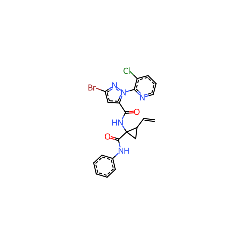 C=CC1CC1(NC(=O)c1cc(Br)nn1-c1ncccc1Cl)C(=O)Nc1ccccc1